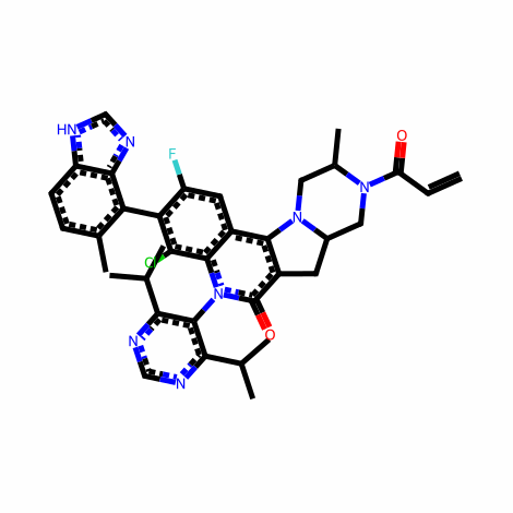 C=CC(=O)N1CC2Cc3c(c4cc(F)c(-c5c(C)ccc6[nH]cnc56)c(Cl)c4n(-c4c(C(C)C)ncnc4C(C)C)c3=O)N2CC1C